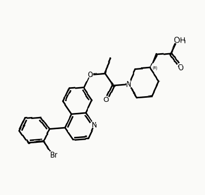 CC(Oc1ccc2c(-c3ccccc3Br)ccnc2c1)C(=O)N1CCC[C@H](CC(=O)O)C1